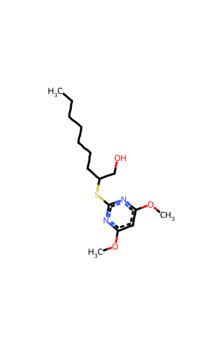 CCCCCCCC(CO)Sc1nc(OC)cc(OC)n1